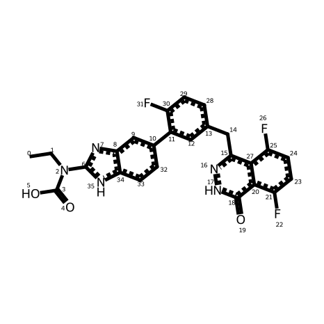 CCN(C(=O)O)c1nc2cc(-c3cc(Cc4n[nH]c(=O)c5c(F)ccc(F)c45)ccc3F)ccc2[nH]1